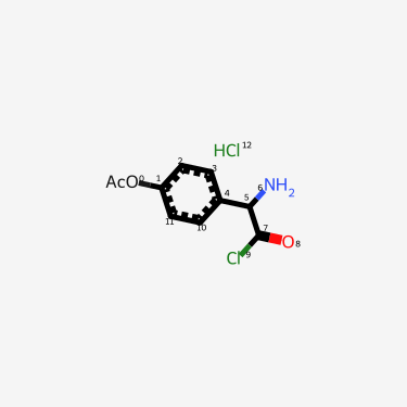 CC(=O)Oc1ccc(C(N)C(=O)Cl)cc1.Cl